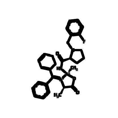 C[C@H]1C(=O)O[N@+](C)(NC(=O)[C@@H]2CCCN2Cc2ccccc2F)/[N+]1=C(\C1=CC=CCC1)c1ccccc1